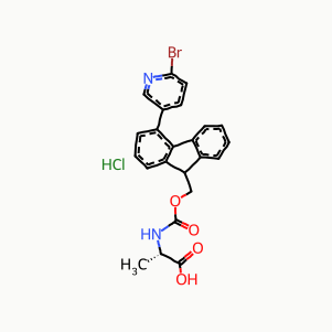 C[C@H](NC(=O)OCC1c2ccccc2-c2c(-c3ccc(Br)nc3)cccc21)C(=O)O.Cl